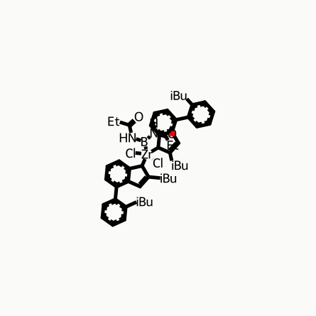 CCC(=O)N[B](NC(=O)CC)[Zr]([Cl])([Cl])([CH]1C(C(C)CC)=Cc2c(-c3ccccc3C(C)CC)cccc21)[CH]1C(C(C)CC)=Cc2c(-c3ccccc3C(C)CC)cccc21